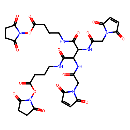 O=C(CN1C(=O)C=CC1=O)NC(C(=O)NCCCC(=O)ON1C(=O)CCC1=O)C(NC(=O)CN1C(=O)C=CC1=O)C(=O)NCCCC(=O)ON1C(=O)CCC1=O